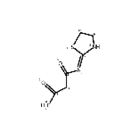 CC(=O)CC(=O)N=C1NCCS1